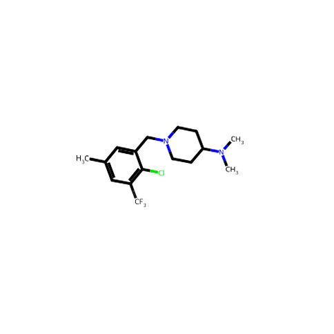 Cc1cc(CN2CCC(N(C)C)CC2)c(Cl)c(C(F)(F)F)c1